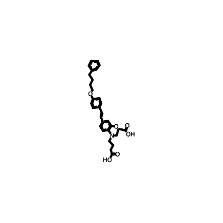 O=C(O)CCCN1CC(C(=O)O)Oc2cc(C=Cc3ccc(OCCCCc4ccccc4)cc3)ccc21